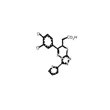 O=C(O)CC1Sc2nnc(-c3cccs3)n2N=C1c1ccc(Cl)c(Cl)c1